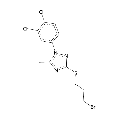 Cc1nc(SCCCBr)nn1-c1ccc(Cl)c(Cl)c1